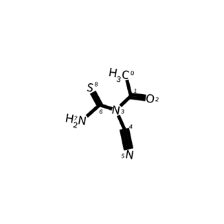 CC(=O)N(C#N)C(N)=S